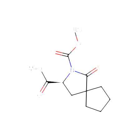 COC(=O)[C@@H]1CC2(CCCC2)C(=O)N1C(=O)OC(C)(C)C